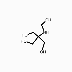 OCNC(CO)(CO)CO